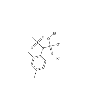 CCOP([O-])(=S)N(c1ccc(C)cc1C)S(C)(=O)=O.[K+]